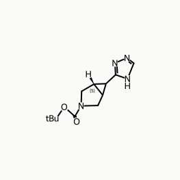 CC(C)(C)OC(=O)N1CC2C(c3nnc[nH]3)[C@H]2C1